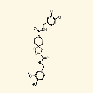 COc1cc(CNC(=O)C2=NOC3(CCN(C(=O)NCc4ccc(Cl)c(Cl)c4)CC3)C2)ccc1O